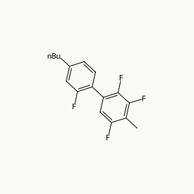 CCCCc1ccc(-c2cc(F)c(C)c(F)c2F)c(F)c1